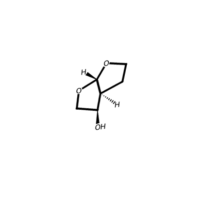 O[C@H]1CO[C@@H]2OCC[C@H]21